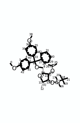 COc1ccc(C(OC[C@H]2O[C@@H](C)[C@H](O[Si](C)(C)C(C)(C)C)[C@@H]2OP(C)C)(c2ccccc2)c2ccc(OC)cc2)cc1